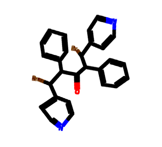 O=C(C(c1ccccc1)C(Br)c1ccncc1)C(c1ccccc1)C(Br)c1ccncc1